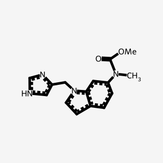 COC(=O)N(C)c1ccc2ccn(Cc3c[nH]cn3)c2c1